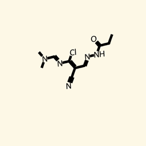 CCC(=O)NN=CC(C#N)=C(Cl)N=CN(C)C